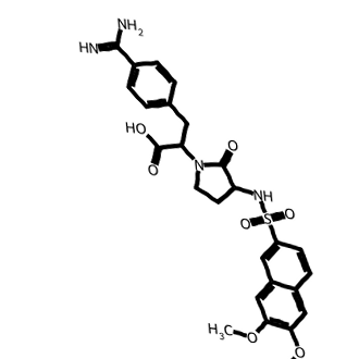 COc1cc2ccc(S(=O)(=O)NC3CCN(C(Cc4ccc(C(=N)N)cc4)C(=O)O)C3=O)cc2cc1OC